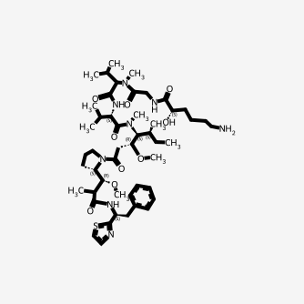 CC[C@H](C)[C@@H]([C@@H](CC(=O)N1CCC[C@H]1[C@H](OC)C(C)C(=O)N[C@@H](Cc1ccccc1)c1nccs1)OC)N(C)C(=O)[C@@H](NC(=O)C(C(C)C)N(C)C(=O)CNC(=O)[C@@H](O)CCCCN)C(C)C